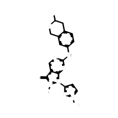 CC1Cc2ccc(Nc3ncc4c(=O)n(C(C)C)n(-c5ccn(C(C)(C)C)n5)c4n3)cc2CN1